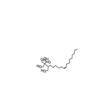 CCCCCCCC/C=C\CCCCCC(CO)C(CO)(CO)C(=O)O